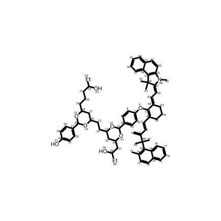 C=C(/C=C/C1=C(Oc2ccc(C3OC(CCC4CC(CCCC(O)CC)OC(c5ccc(O)cc5)O4)CC(CC(O)CC)O3)cc2)C(=C/C=C2/N(C)c3ccc4ccccc4c3C2(C)C)/CCC1)C(C)(C)c1c(C)ccc2ccccc12